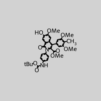 COC(=O)c1c(-c2cc(OC)c(C)c(OC)c2)c2cc(OC)c(O)cc2c(=O)n1-c1ccc(NC(=O)OC(C)(C)C)cc1